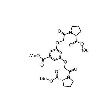 COC(=O)c1cc(OCC(=O)N2CCC[C@@H]2C(=O)OC(C)(C)C)cc(OCC(=O)N2CCC[C@@H]2C(=O)OC(C)(C)C)c1